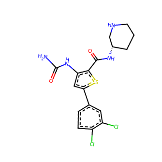 NC(=O)Nc1cc(-c2ccc(Cl)c(Cl)c2)sc1C(=O)N[C@H]1CCCNC1